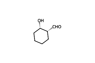 O=C[C@@H]1CCCC[C@@H]1O